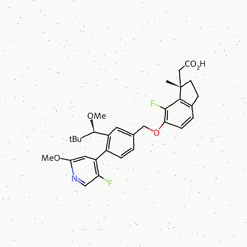 COc1cc(-c2ccc(COc3ccc4c(c3F)[C@](C)(CC(=O)O)CC4)cc2[C@H](OC)C(C)(C)C)c(F)cn1